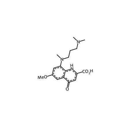 COc1cc(N(C)CCCN(C)C)c2[nH]c(C(=O)O)cc(=O)c2c1